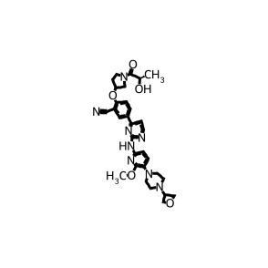 COc1nc(Nc2nccc(-c3ccc(OC4CCN(C(=O)[C@@H](C)O)C4)c(C#N)c3)n2)ccc1N1CCN(C2COC2)CC1